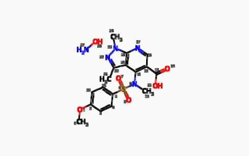 COc1ccc(S(=O)(=O)N(C)c2c(C(=O)O)cnc3c2c(C)nn3C)cc1.NO